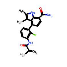 C=C(C)C(=O)Nc1cccc(-c2ccc(C(N)=O)c3[nH]c(C)c(C)c23)c1F